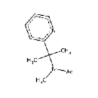 CC(=O)N(C)C(C)(C)c1ccccn1